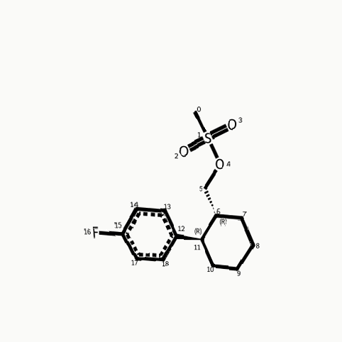 CS(=O)(=O)OC[C@@H]1CCCC[C@H]1c1ccc(F)cc1